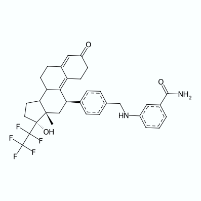 C[C@]12C[C@H](c3ccc(CNc4cccc(C(N)=O)c4)cc3)C3=C4CCC(=O)C=C4CCC3C1CC[C@]2(O)C(F)(F)C(F)(F)F